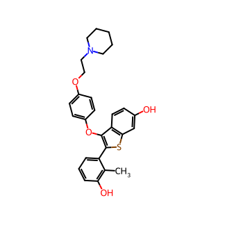 Cc1c(O)cccc1-c1sc2cc(O)ccc2c1Oc1ccc(OCCN2CCCCC2)cc1